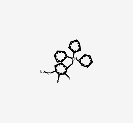 CCOc1ccc(C[PH](c2ccccc2)(c2ccccc2)c2ccccc2)c(F)c1F